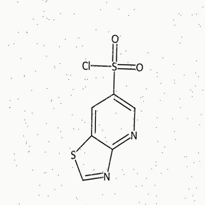 O=S(=O)(Cl)c1cnc2ncsc2c1